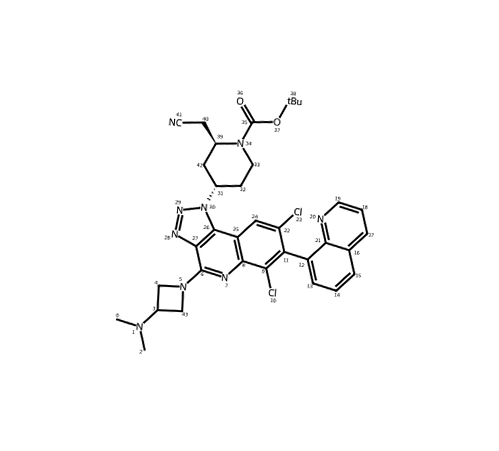 CN(C)C1CN(c2nc3c(Cl)c(-c4cccc5cccnc45)c(Cl)cc3c3c2nnn3[C@H]2CCN(C(=O)OC(C)(C)C)[C@H](CC#N)C2)C1